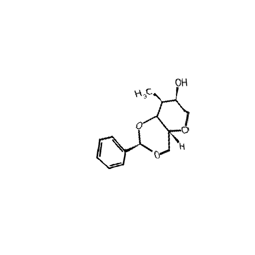 C[C@@H]1C2O[C@H](c3ccccc3)OC[C@H]2OC[C@@H]1O